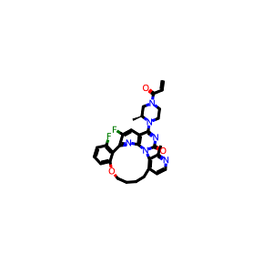 C=CC(=O)N1CCN(c2nc(=O)n3c4nc(c(F)cc24)-c2c(F)cccc2OCCCCc2ccnc(C)c2-3)[C@@H](C)C1